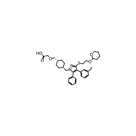 O=C(O)COC[C@H]1CC[C@H](Cn2nc(SCCOC3CCCCO3)c(-c3cccc(F)c3)c2-c2ccccc2)CC1